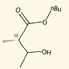 CCCCOC(=O)[C@@H](C)C(C)O